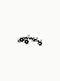 O=C(NCc1ncccc1F)c1coc(CCNCCc2nc3cc4c(cc3n2-c2ccccc2)OCO4)n1